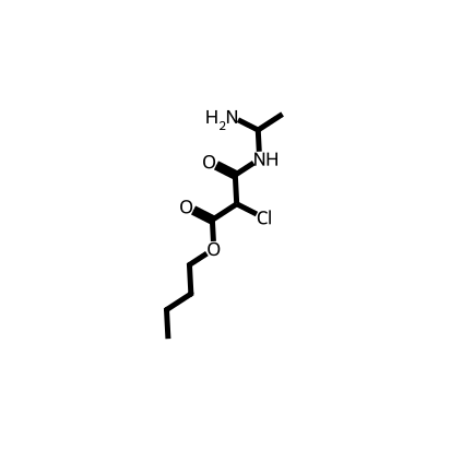 CCCCOC(=O)C(Cl)C(=O)NC(C)N